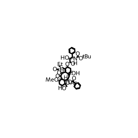 CCSC(=O)O[C@H]1C(=O)[C@]2(C)[C@@H](OC)C[C@H]3OC[C@@]3(OC(C)=O)[C@H]2[C@]2(OC(=O)c3ccccc3)C[C@@]3(C)C1=C(C)[C@@H](OC(=O)[C@H](O)[C@@H](NC(=O)OC(C)(C)C)c1ccccc1)C[C@]32O